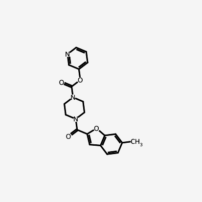 Cc1ccc2cc(C(=O)N3CCN(C(=O)Oc4cccnc4)CC3)oc2c1